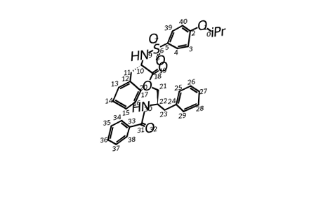 CC(C)Oc1ccc(S(=O)(=O)N[C@@H](Cc2ccccc2)C(=O)OC[C@@H](Cc2ccccc2)NC(=O)c2ccccc2)cc1